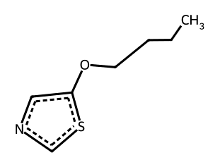 CCCCOc1cncs1